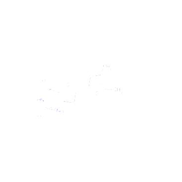 CC1=C(C)SC(=C2Sc3[nH]c(=O)[nH]c(=O)c3S2)S1